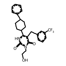 O=c1[nH]c(C2CCC(c3ccccc3)CC2)c(Cc2cccc(C(F)(F)F)c2)c(=O)n1CCO